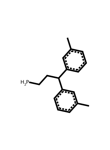 Cc1cccc(C(CCP)c2cccc(C)c2)c1